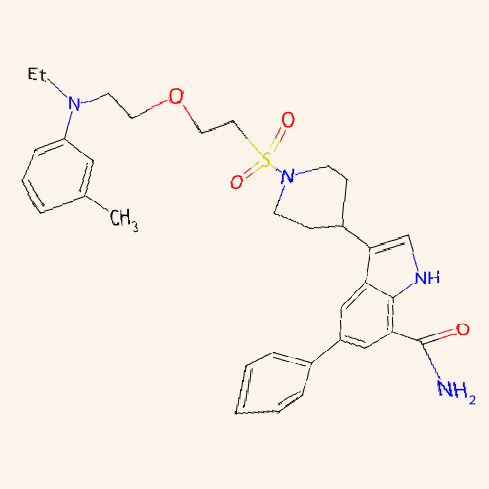 CCN(CCOCCS(=O)(=O)N1CCC(c2c[nH]c3c(C(N)=O)cc(-c4ccccc4)cc23)CC1)c1cccc(C)c1